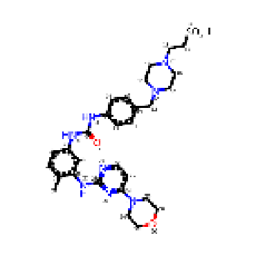 Cc1ccc(NC(=O)Nc2ccc(CN3CCN(CCS(=O)(=O)O)CC3)cc2)cc1Nc1nccc(N2CCOCC2)n1